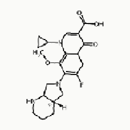 COC1=C2C(CC(F)=C1N1CC3NCCC[C@H]3C1)C(=O)C(C(=O)O)=CN2C1CC1